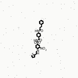 O=C(CCc1ccccc1)Nc1ccc(C(=O)NS(=O)(=O)c2ccc(NCCc3cccs3)c([N+](=O)[O-])c2)cc1